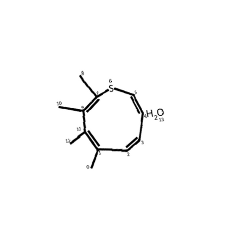 Cc1ccccsc(C)c(C)c1C.O